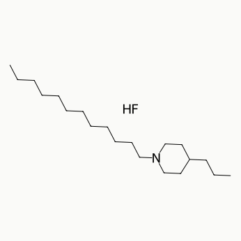 CCCCCCCCCCCCN1CCC(CCC)CC1.F